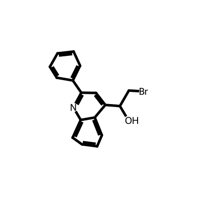 OC(CBr)c1cc(-c2ccccc2)nc2ccccc12